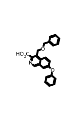 O=C(O)c1ncc2cc(Oc3ccccc3)ccc2c1COCc1ccccc1